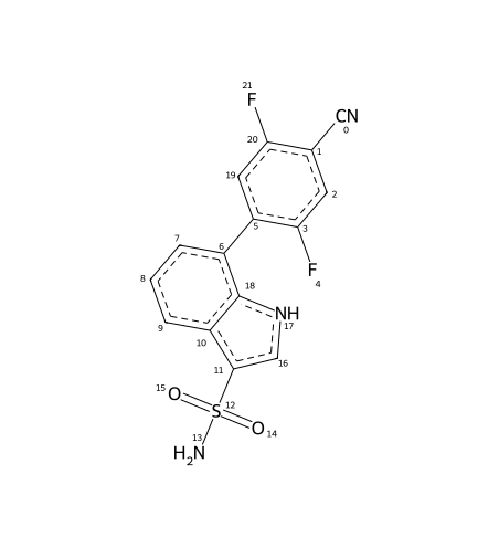 N#Cc1cc(F)c(-c2cccc3c(S(N)(=O)=O)c[nH]c23)cc1F